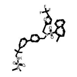 Cc1ccc2ccccc2c1S(=O)(=O)N(Cc1ccc(-c2cccc(C(C)(C)CNS(=O)(=O)N(C)C)c2)cc1)Cc1ccc(C(F)(F)F)o1